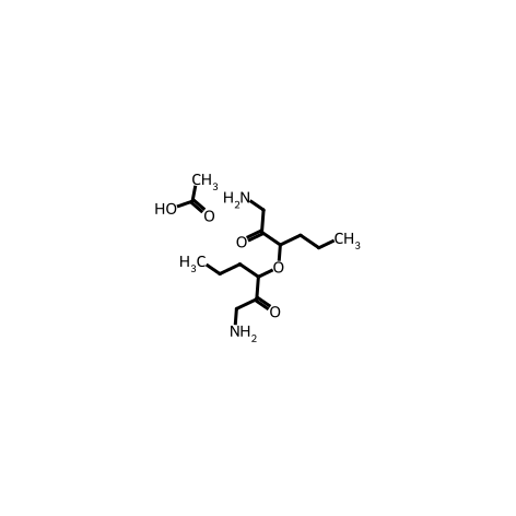 CC(=O)O.CCCC(OC(CCC)C(=O)CN)C(=O)CN